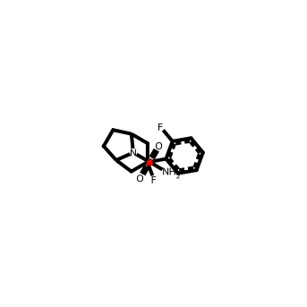 NS(=O)(=O)N1C2CCC1CC(F)(c1ccccc1F)C2